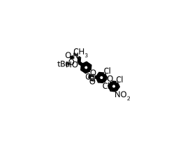 CN(CC(O)c1ccc(OS(=O)(=O)c2cc(Cl)c(Oc3ccc([N+](=O)[O-])cc3Cl)c(Cl)c2)cc1)C(=O)OC(C)(C)C